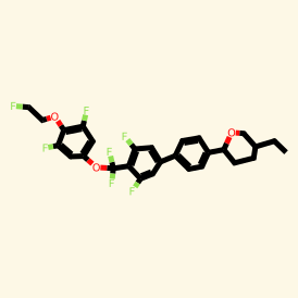 CCC1CCC(c2ccc(-c3cc(F)c(C(F)(F)Oc4cc(F)c(OCCF)c(F)c4)c(F)c3)cc2)OC1